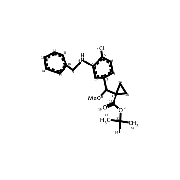 COC(c1ccc(Cl)c(NCc2ccccc2)c1)C1(C(=O)OC(C)(C)I)CC1